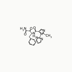 Cc1ncc(C(=O)NC(Cc2ccccc2)C(=O)C(N)=O)n1-c1ncccn1